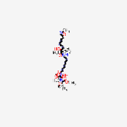 CCOC(=O)C(C(C)OC)N(C)C(=O)C1(N(O)C(=O)/C=C/C=C/C=C/C=C\CNC(=O)C(C)(C)C(O)\C(C)=C/C=C\C=C\Cc2cnc(C)o2)COCO1